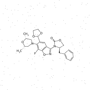 C[C@@H]1CN(c2c(C3OCCO3)cc3c(N4C(=O)OC[C@H]4Cc4ccccc4)noc3c2F)C[C@H](C)O1